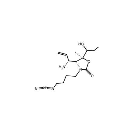 C=C[C@@H](N)[C@H]1N(CCCCN=[N+]=[N-])C(=O)O[C@]1(C)C(O)CC